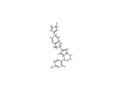 Cc1cc(F)ccc1C1CCCn2nc(-c3cc4nc(-c5cnn(C)c5)ccc4[nH]3)nc21